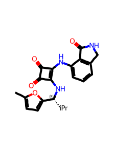 Cc1ccc([C@H](Nc2c(Nc3cccc4c3C(=O)NC4)c(=O)c2=O)C(C)C)o1